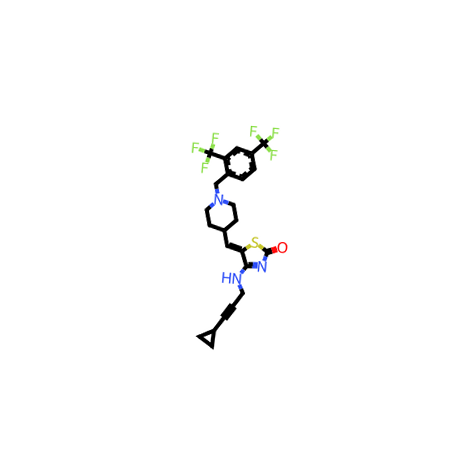 O=C1N=C(NCC#CC2CC2)/C(=C/C2CCN(Cc3ccc(C(F)(F)F)cc3C(F)(F)F)CC2)S1